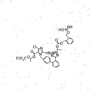 CCCCc1nc(Cl)c(C(=O)OC(C)OC(=O)OCC)n1Cc1ccc(-c2ccccc2-c2nnn(C(C)OC(=O)OCc3ccccc3CON(O)O)n2)cc1